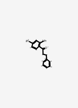 CC(C)c1[c]c(C(C)C)c(C(=O)CCc2ccccc2)cc1